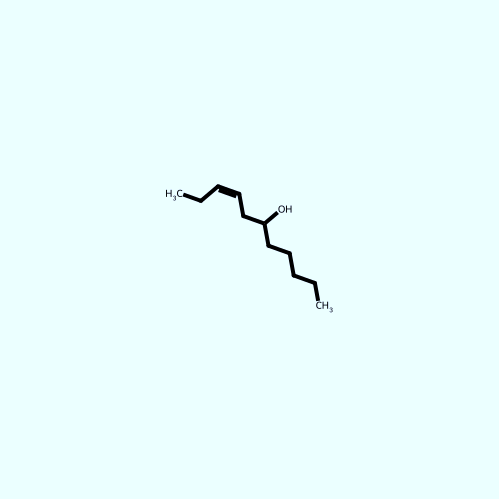 CC/C=C\CC(O)CCCCC